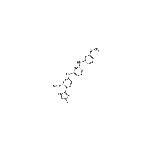 COc1cc(Nc2cccc(Nc3cccc(OC(F)(F)F)c3)n2)ccc1-c1nc(C)c[nH]1